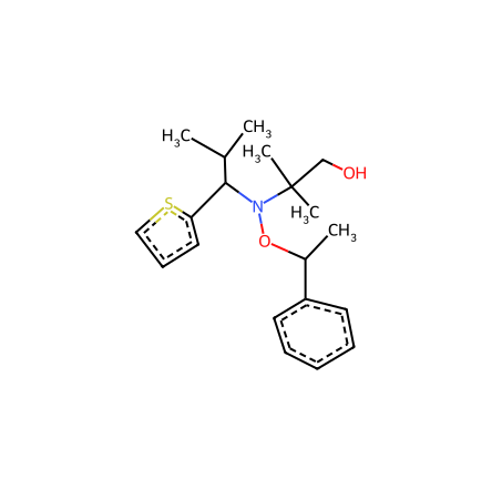 CC(ON(C(c1cccs1)C(C)C)C(C)(C)CO)c1ccccc1